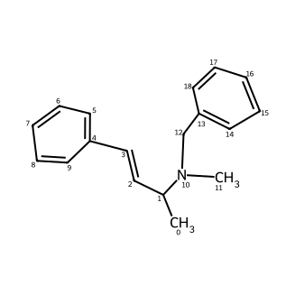 CC(C=Cc1ccccc1)N(C)Cc1ccccc1